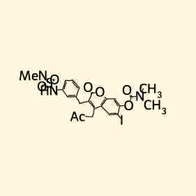 CNS(=O)(=O)Nc1cccc(Cc2c(CC(C)=O)c3cc(I)c(OC(=O)N(C)C)cc3oc2=O)c1